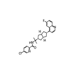 CC(C)(NC(=O)c1ccc(Cl)cn1)[C@H]1C[C@H]2C[C@@H](c3ccnc4ccc(F)cc34)C[C@H]2C1